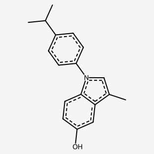 Cc1cn(-c2ccc(C(C)C)cc2)c2ccc(O)cc12